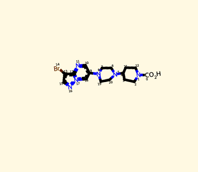 O=C(O)N1CCC(N2CCN(c3cnc4c(Br)cnn4c3)CC2)CC1